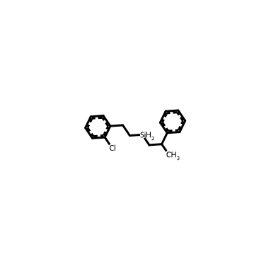 CC(C[SiH2]CCc1ccccc1Cl)c1ccccc1